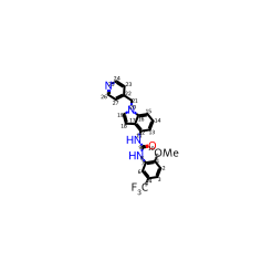 COc1ccc(C(F)(F)F)cc1NC(=O)Nc1cccc2c1ccn2Cc1ccncc1